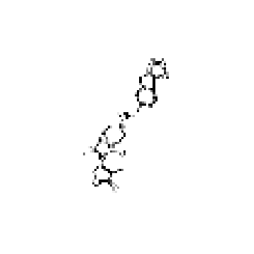 CC1=C(N2C(=O)[C@]34CC[C@H](NCc5ccc6c(c5)Cn5nnnc5-6)CC3C4[C@H]2C)COC1=O